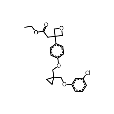 CCOC(=O)CC1(c2ccc(OCC3(COc4cccc(Cl)c4)CC3)cc2)COC1